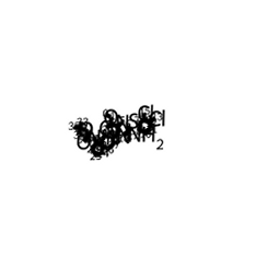 COC(=O)c1nc(Sc2cccc(Cl)c2Cl)c(N)nc1N1CCC2(CCCC2NC(=O)OC(C)(C)C)CC1